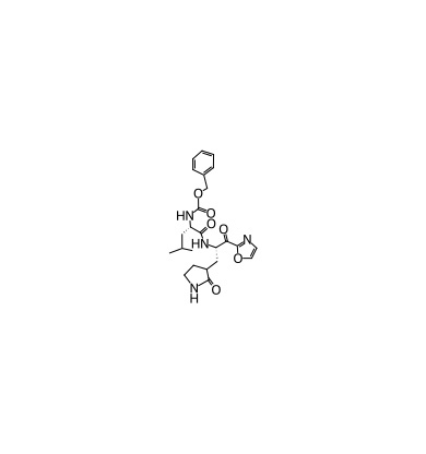 CC(C)C[C@H](NC(=O)OCc1ccccc1)C(=O)N[C@@H](CC1CCNC1=O)C(=O)c1ncco1